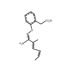 C\C=C/C=C(C)/C(N)=N\Oc1ccccc1CC(=O)OCC